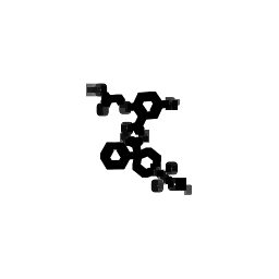 CS(=O)(=O)N1CCC(c2ccccc2)(c2noc(-c3cc(Br)ccc3OCC(=O)O)n2)CC1